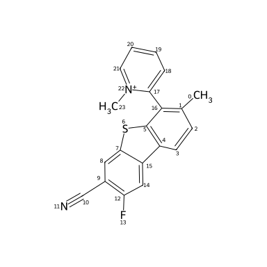 Cc1ccc2c(sc3cc(C#N)c(F)cc32)c1-c1cccc[n+]1C